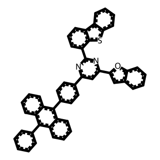 c1ccc(-c2c3ccccc3c(-c3ccc(-c4cc(-c5cc6ccccc6o5)nc(-c5cccc6c5sc5ccccc56)n4)cc3)c3ccccc23)cc1